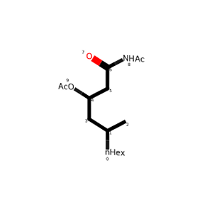 CCCCCCC(C)CC(CC(=O)NC(C)=O)OC(C)=O